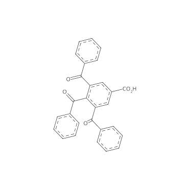 O=C(O)c1cc(C(=O)c2ccccc2)c(C(=O)c2ccccc2)c(C(=O)c2ccccc2)c1